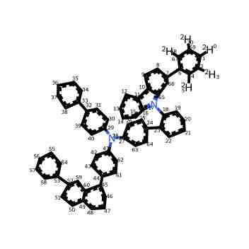 [2H]c1c([2H])c([2H])c(-c2ccc3c4ccccc4n(-c4ccccc4-c4ccc(N(c5ccc(-c6ccccc6)cc5)c5ccc(-c6cccc7ccc(-c8ccccc8)cc67)cc5)cc4)c3c2)c([2H])c1[2H]